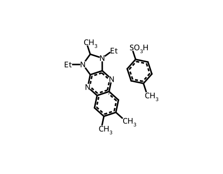 CCN1c2nc3cc(C)c(C)cc3nc2N(CC)C1C.Cc1ccc(S(=O)(=O)O)cc1